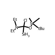 CCN(CC)C([SiH3])(Cl)O[Si](C)(C)C(C)(C)C